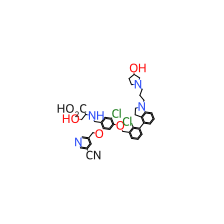 N#Cc1cncc(COc2cc(OCc3cccc(-c4cccc5c4CCN5CCCN4CCC(O)C4)c3Cl)c(Cl)cc2CN[C@@H](CO)C(=O)O)c1